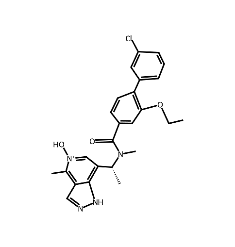 CCOc1cc(C(=O)N(C)[C@H](C)c2c[n+](O)c(C)c3cn[nH]c23)ccc1-c1cccc(Cl)c1